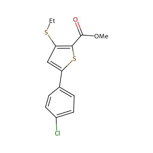 CCSc1cc(-c2ccc(Cl)cc2)sc1C(=O)OC